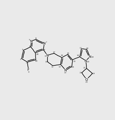 Fc1ccc2ncnc(N3CCc4ncc(-c5ccnn5C5COC5)cc4C3)c2c1